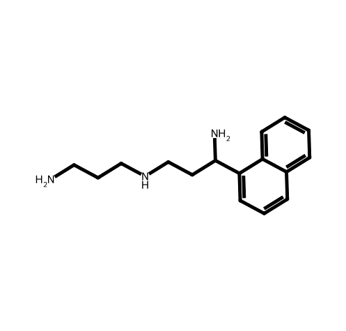 NCCCNCCC(N)c1cccc2ccccc12